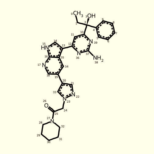 CC[C@](O)(c1ccccc1)c1cc(-c2c[nH]c3ncc(-c4cnn(CC(=O)N5CCCCC5)c4)cc23)nc(N)n1